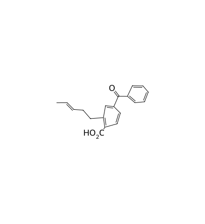 C/C=C/CCc1cc(C(=O)c2ccccc2)ccc1C(=O)O